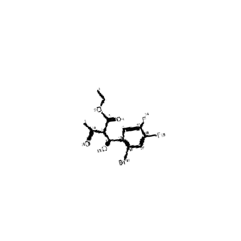 CCOC(=O)C(C(C)=O)C(=O)c1cc(F)c(F)cc1Br